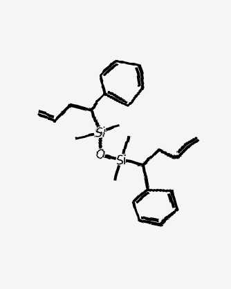 C=CCC(c1ccccc1)[Si](C)(C)O[Si](C)(C)C(CC=C)c1ccccc1